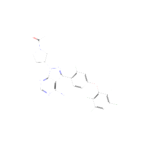 Nc1ncnc2c1c(-c1ccc(Oc3c(F)c(F)cc(F)c3F)cc1F)nn2C1CCN(C(=O)C(=O)O)C1